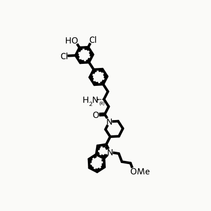 COCCCn1c(C2CCCN(C(=O)C[C@H](N)Cc3ccc(-c4cc(Cl)c(O)c(Cl)c4)cc3)C2)cc2ccccc21